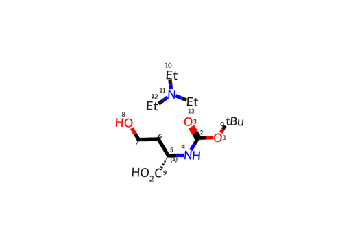 CC(C)(C)OC(=O)N[C@@H](CCO)C(=O)O.CCN(CC)CC